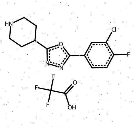 Fc1ccc(-c2nnc(C3CCNCC3)o2)cc1Cl.O=C(O)C(F)(F)F